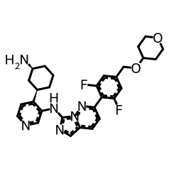 N[C@H]1CCC[C@@H](c2ccncc2Nc2ncc3ccc(-c4c(F)cc(COC5CCOCC5)cc4F)nn23)C1